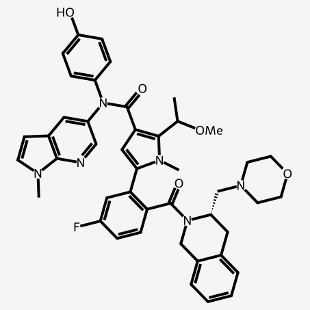 COC(C)c1c(C(=O)N(c2ccc(O)cc2)c2cnc3c(ccn3C)c2)cc(-c2cc(F)ccc2C(=O)N2Cc3ccccc3C[C@H]2CN2CCOCC2)n1C